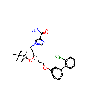 CC(C)(C)[Si](C)(C)O[C@@H](CCCOc1cccc(-c2ccccc2Cl)c1)Cn1cnc(C(N)=O)c1